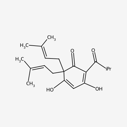 CC(C)=CCC1(CC=C(C)C)C(=O)C(C(=O)C(C)C)=C(O)C=C1O